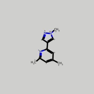 Cc1cc(C)nc(-c2cnn(C)c2)c1